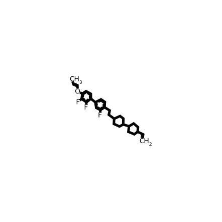 C=CC1CCC(C2CCC(CCc3ccc(-c4ccc(O/C=C/C)c(F)c4F)cc3F)CC2)CC1